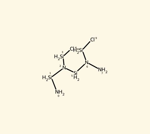 N[SiH2]N([SiH2]Cl)[SiH2]N(N)[SiH2]Cl